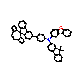 CC1(C)c2ccccc2-c2ccc(N(c3ccc(-c4ccc5c(c4)-c4ccccc4C54c5ccccc5C=Cc5ccccc54)cc3)c3ccc4oc5ccccc5c4c3)cc21